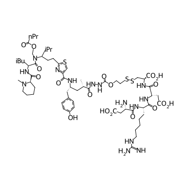 CCCC(=O)OCN(C(=O)C(NC(=O)[C@H]1CCCCN1C)C(C)CC)C(CCc1nc(C(=O)N[C@@H](Cc2ccc(O)cc2)C[C@H](C)C(=O)NNC(=O)OCCSSC[C@H](NC(=O)[C@H](CC(=O)O)NC(=O)[C@H](CCCCCNC(=N)N)NC(=O)[C@@H](N)CC(=O)O)C(=O)O)cs1)C(C)C